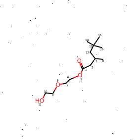 CC(CC(=O)OCCOCCO)CC(C)(C)C